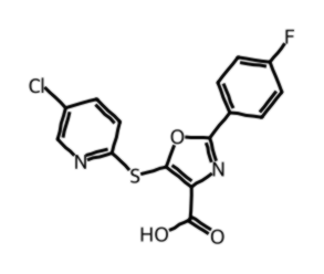 O=C(O)c1nc(-c2ccc(F)cc2)oc1Sc1ccc(Cl)cn1